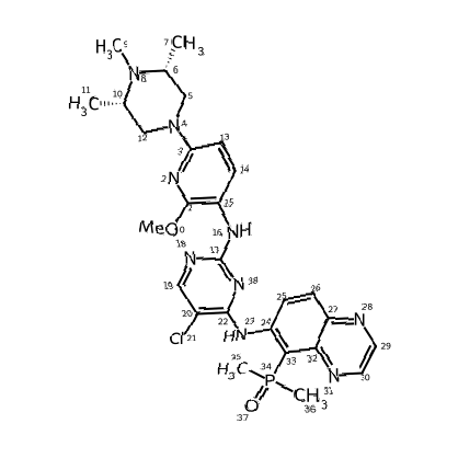 COc1nc(N2C[C@@H](C)N(C)[C@@H](C)C2)ccc1Nc1ncc(Cl)c(Nc2ccc3nccnc3c2P(C)(C)=O)n1